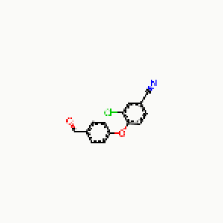 N#Cc1ccc(Oc2ccc(C=O)cc2)c(Cl)c1